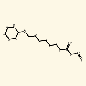 O=PCC(=O)CCCCCCCOC1CCCCO1